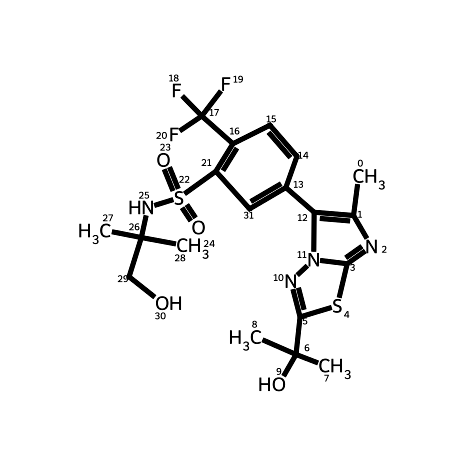 Cc1nc2sc(C(C)(C)O)nn2c1-c1ccc(C(F)(F)F)c(S(=O)(=O)NC(C)(C)CO)c1